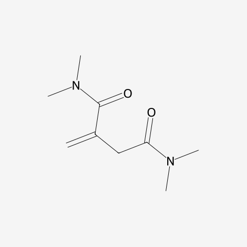 C=C(CC(=O)N(C)C)C(=O)N(C)C